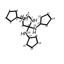 [SiH3]NC(CNC1CCCC1)(NC1CCCC1)NC1CCCC1